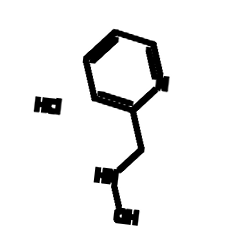 Cl.ONCc1ccccn1